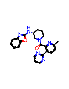 Cc1ccc(-c2ncccn2)c(C(=O)N2CCC[C@@H](Nc3nc4ccccc4o3)C2)n1